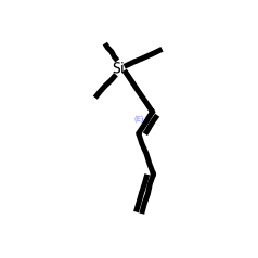 C=C/C=C/[Si](C)(C)C